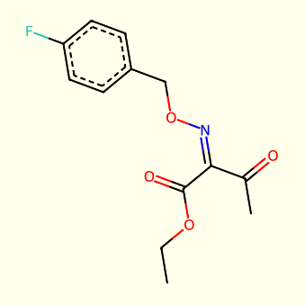 CCOC(=O)/C(=N\OCc1ccc(F)cc1)C(C)=O